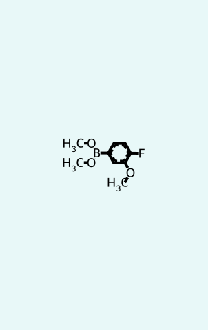 COB(OC)c1ccc(F)c(OC)c1